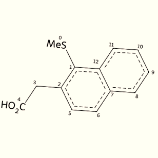 CSc1c(CC(=O)O)ccc2ccccc12